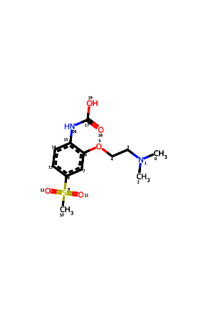 CN(C)CCOc1cc(S(C)(=O)=O)ccc1NC(=O)O